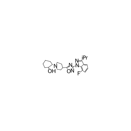 CC(C)c1nn(-c2noc(C3CCN([C@H]4CCCC[C@@H]4O)CC3)n2)c2c(F)cccc12